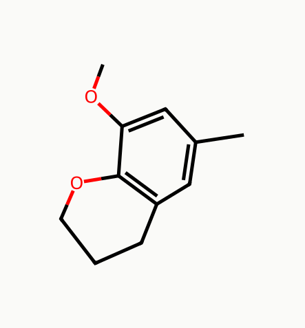 COc1cc(C)cc2c1OCCC2